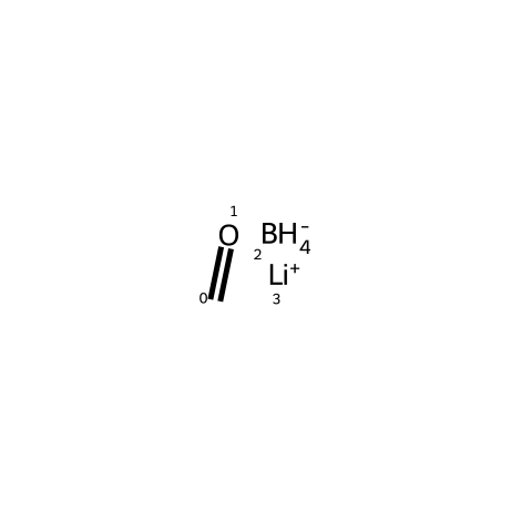 C=O.[BH4-].[Li+]